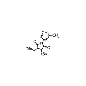 C=C/C=C(\C=C)N1C(=O)C(CC(C)(C)C)C(C(C)(C)C)C1=O